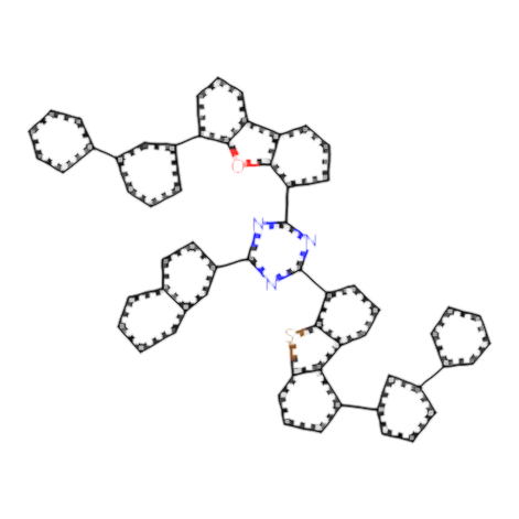 c1ccc(-c2cccc(-c3cccc4c3oc3c(-c5nc(-c6ccc7ccccc7c6)nc(-c6cccc7c6sc6cccc(-c8cccc(-c9ccccc9)c8)c67)n5)cccc34)c2)cc1